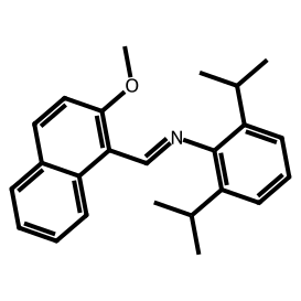 COc1ccc2ccccc2c1/C=N/c1c(C(C)C)cccc1C(C)C